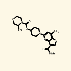 CNC(=O)c1csc2c(C(F)(F)F)cc(N3CCC(OC(=O)N4CCOCC4C#N)CC3)nc12